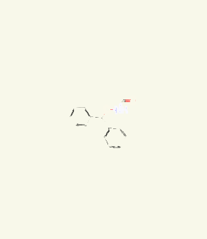 O=CNOC(c1ccccc1)c1ccccc1